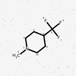 [CH2]N1CCC(C(F)(F)F)CC1